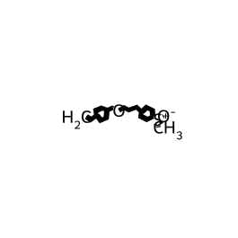 C=Cc1ccc(COCCCc2ccc([S+](C)[O-])cc2)cc1